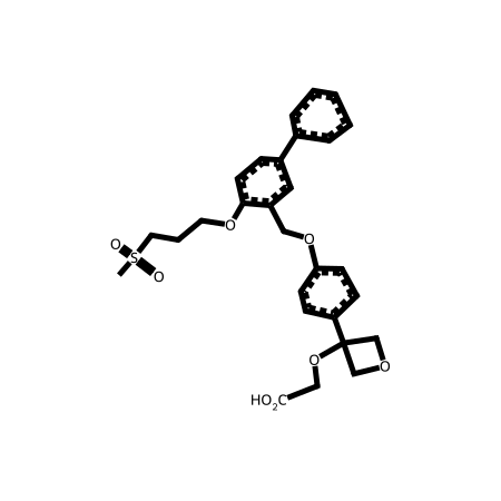 CS(=O)(=O)CCCOc1ccc(-c2ccccc2)cc1COc1ccc(C2(OCC(=O)O)COC2)cc1